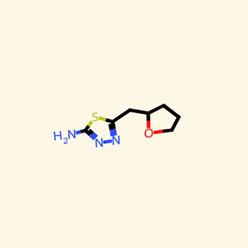 Nc1nnc(CC2CCCO2)s1